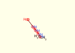 CCNC(CCCCNC(=O)CCOCCOCCNC(=O)CCOCCOCCNC(=O)CCCCCCCCCCCCCCCCC(=O)O)C(C)=O